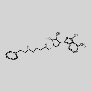 CCc1cn([C@@H]2C[C@H](CNCCCNCCc3ccccc3)[C@@H](O)[C@H]2O)c2ncnc(C)c12